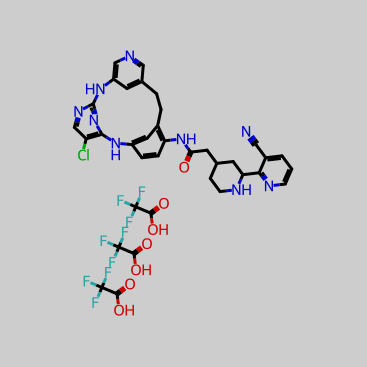 N#Cc1cccnc1C1CC(CC(=O)Nc2ccc3cc2CCc2cncc(c2)Nc2ncc(Cl)c(n2)N3)CCN1.O=C(O)C(F)(F)F.O=C(O)C(F)(F)F.O=C(O)C(F)(F)F